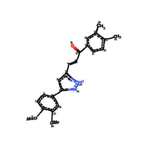 COc1ccc(-c2cc(C=CC(=O)c3ccc(C)c(C)c3)[nH]n2)cc1OC